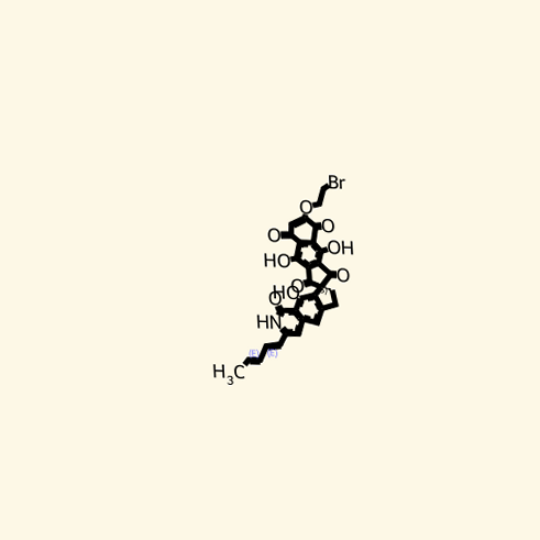 C/C=C/C=C/c1cc2cc3c(c(O)c2c(=O)[nH]1)[C@@]1(CC3)C(=O)c2c(O)c3c(c(O)c2C1=O)C(=O)C(OCCBr)=CC3=O